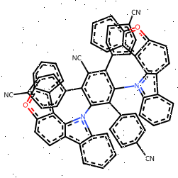 N#Cc1ccc(-c2c(C#N)c(-c3ccc(C#N)cc3)c(-n3c4ccccc4c4ccc5oc6ccccc6c5c43)c(-c3ccc(C#N)cc3)c2-n2c3ccccc3c3ccc4oc5ccccc5c4c32)cc1